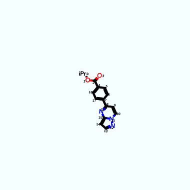 CC(C)OC(=O)c1ccc(-c2ccn3nccc3n2)cc1